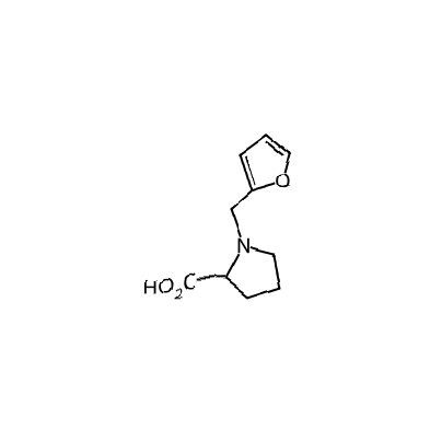 O=C(O)C1CCCN1Cc1ccco1